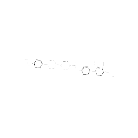 CCCc1ccc(-c2ccc(OC(=O)C3CCC(C4CCC(c5ccc(OCC)c(F)c5F)CC4)CC3)c(F)c2F)c(F)c1F